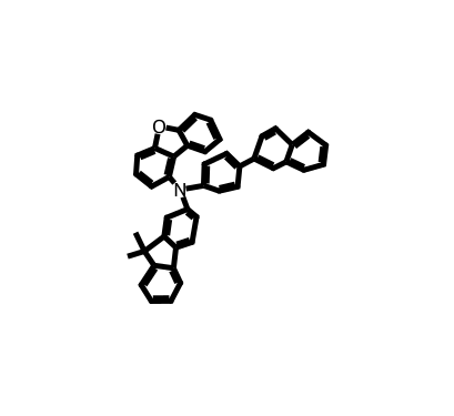 CC1(C)c2ccccc2-c2ccc(N(c3ccc(-c4ccc5ccccc5c4)cc3)c3cccc4oc5ccccc5c34)cc21